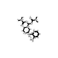 CN(C)C(=O)OC(OC(=O)N(C)C)N1CCSCC1.Nc1ncccc1O